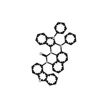 O=C1N2c3c(n(-c4ccccc4)c4ccccc34)B(c3ccccc3)c3ccc4cccc(c4c32)N1c1cccc2oc3ccccc3c12